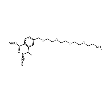 COC(=O)c1ccc(COCCOCCOCCOCCN)cc1C(C)N=[N+]=[N-]